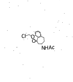 CC(=O)N[C@H]1CCc2cccc(OCCl)c2C(=O)C1